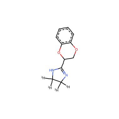 [2H]C1([2H])N=C(C2COc3ccccc3O2)NC1([2H])[2H]